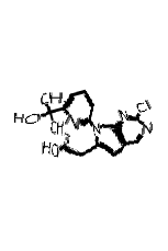 CC(C)(O)c1cccc(-n2c(CCO)cc3cnc(Cl)nc32)n1